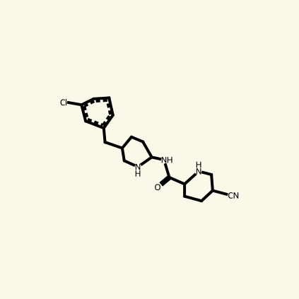 N#CC1CCC(C(=O)NC2CCC(Cc3cccc(Cl)c3)CN2)NC1